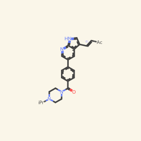 CC(=O)/C=C/c1c[nH]c2ncc(-c3ccc(C(=O)N4CCN(C(C)C)CC4)cc3)cc12